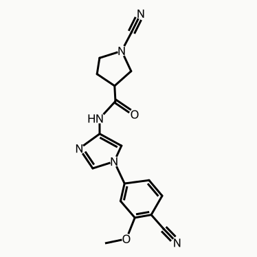 COc1cc(-n2cnc(NC(=O)C3CCN(C#N)C3)c2)ccc1C#N